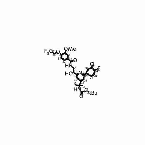 COc1cc(C(=O)NCC(O)c2cc(C(C)(C)NC(=O)OC(C)(C)C)cc(-c3ccc(F)c(Cl)c3)n2)ccc1OCC(F)(F)F